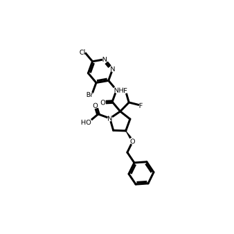 O=C(O)N1C[C@H](OCc2ccccc2)CC1(C(=O)Nc1nnc(Cl)cc1Br)C(F)F